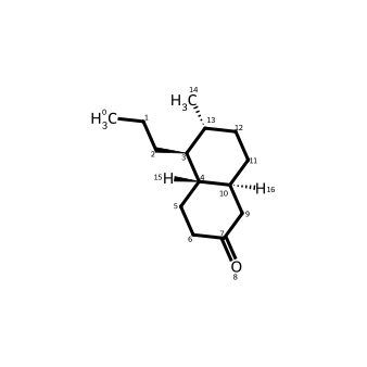 CCC[C@@H]1[C@H]2CCC(=O)C[C@@H]2CC[C@H]1C